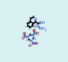 N=C(NN)c1nccc2ccccc12.O=[N+]([O-])N1CN([N+](=O)[O-])CN([N+](=O)[O-])C1